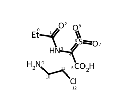 CCC(=O)NC(C(=O)O)=S(=O)=O.NCCCl